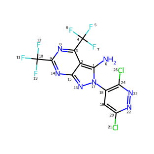 Nc1c2c(C(F)(F)F)nc(C(F)(F)F)nc2nn1-c1cc(Cl)nnc1Cl